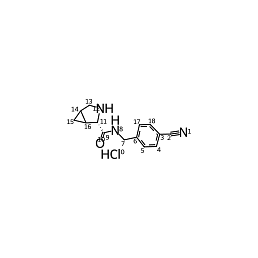 Cl.N#Cc1ccc(CNC(=O)[C@H]2NCC3CC32)cc1